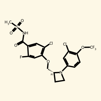 CS(=O)(=O)NC(=O)c1cc(Cl)c(OC[C@H]2CCN2c2ccc(OC(F)(F)F)c(Cl)c2)cc1F